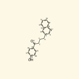 O=C(CCCc1cnc2ccccc2c1)c1ccc(O)cc1